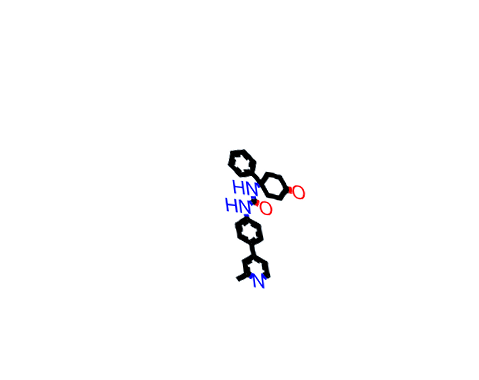 Cc1cc(-c2ccc(NC(=O)NC3(c4ccccc4)CCC(=O)CC3)cc2)ccn1